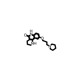 O=c1[nH]c2ccc(OCCCN3CCCCC3)cc2c2c1CCCN2